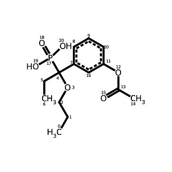 CCCOC(CC)(c1cccc(OC(C)=O)c1)P(=O)(O)O